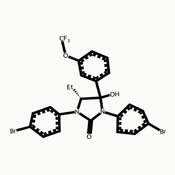 CC[C@H]1N(c2ccc(Br)cc2)C(=O)N(c2ccc(Br)cc2)C1(O)c1cccc(OC(F)(F)F)c1